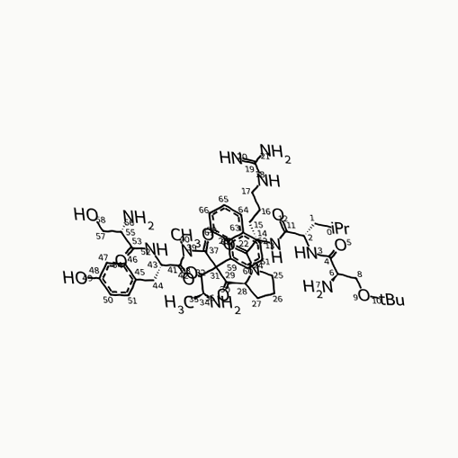 CC(C)C[C@H](NC(=O)[C@H](N)COC(C)(C)C)C(=O)N[C@@H](CCCNC(=N)N)C(=O)N1CCC[C@H]1C(=O)C(C(=O)[C@H](C)N)(C(=O)N(C)C(=O)[C@H](Cc1ccc(O)cc1)NC(=O)[C@@H](N)CO)c1cccc2ccccc12